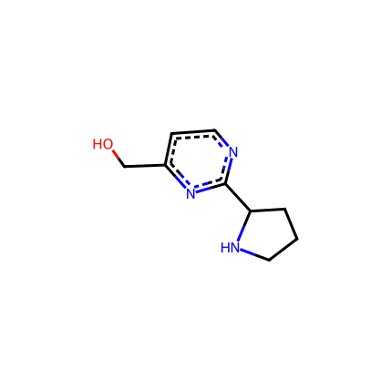 OCc1ccnc(C2CCCN2)n1